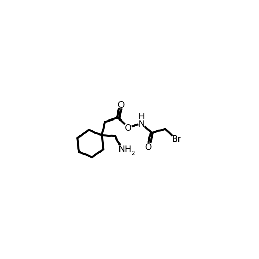 NCC1(CC(=O)ONC(=O)CBr)CCCCC1